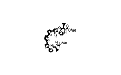 COC(=O)N[C@H](C(=O)N1CCC[C@H]1c1ncc(-c2ccc(-c3ccc(-c4cnc([C@@H]5CCCN5C(=O)[C@@H](NC(=O)OC)C5CC5)[nH]4)s3)s2)[nH]1)C1CC1